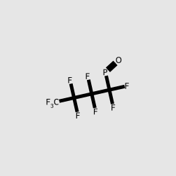 O=PC(F)(F)C(F)(F)C(F)(F)C(F)(F)F